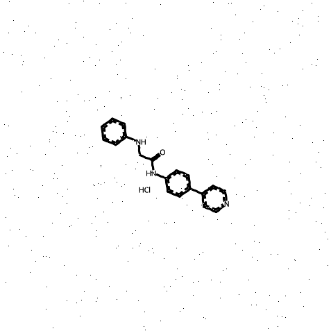 Cl.O=C(CNc1ccccc1)Nc1ccc(-c2ccncc2)cc1